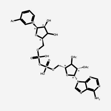 CC(=O)OC1[C@@H](COP(=O)(O)OP(=O)(O)OC[C@H]2O[C@@H]([n+]3cccc(C(C)=O)c3)[C@@H](O)C2O)O[C@@H](n2cnc3c(N)ncnc32)[C@H]1OC(C)=O